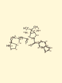 CC1(C)[C@@H]2[C@@H](C(=O)NC(C#N)C[C@@H]3CCNC3=O)N(C(=O)c3ccc4nccn4c3)C[C@@H]21